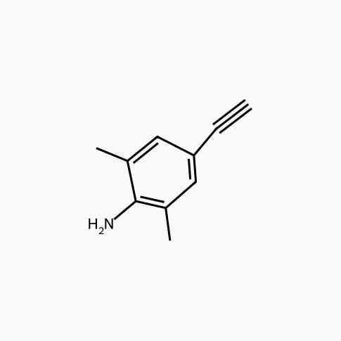 C#Cc1cc(C)c(N)c(C)c1